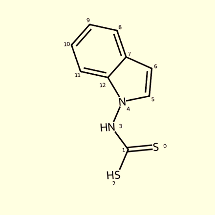 S=C(S)Nn1ccc2ccccc21